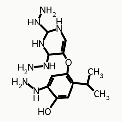 CC(C)c1cc(O)c(NN)cc1OC1=CNC(NN)NC1NN